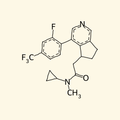 CN(C(=O)CC1CCc2cncc(-c3ccc(C(F)(F)F)cc3F)c21)C1CC1